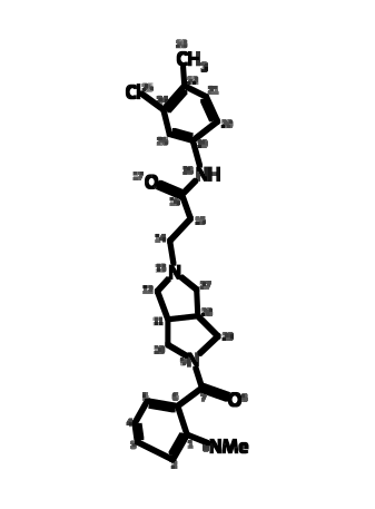 CNc1ccccc1C(=O)N1CC2CN(CCC(=O)Nc3ccc(C)c(Cl)c3)CC2C1